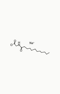 CCCCCCCCCCCC(=O)NCC(=O)[O-].[Na+]